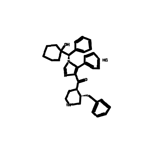 Cl.O=C(c1ncn([C@@H](c2ccccc2)C2(O)CCCCC2)c1-c1ccccc1)N1CCNC[C@H]1Cc1ccccc1